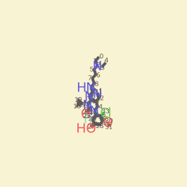 CCN(CC)CCCCNc1ncc2c(n1)N(C1CC1)C(=O)N(c1c(F)c(O)cc(OC)c1Cl)C2